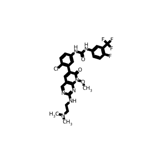 COn1c(=O)c(-c2cc(NC(=O)Nc3ccc(F)c(C(F)(F)F)c3)ccc2Cl)cc2cnc(NCCN(C)C)nc21